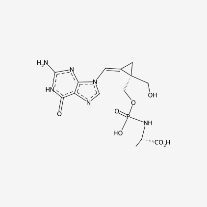 C[C@H](NP(=O)(O)OC[C@@]1(CO)C/C1=C/n1cnc2c(=O)[nH]c(N)nc21)C(=O)O